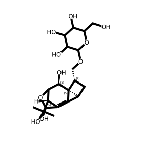 CC(C)(O)[C@H]1C2=C3C4C[C@@H](COC5OC(CO)C(O)C(O)C5O)[C@]34[C@H](O)C1OC2O